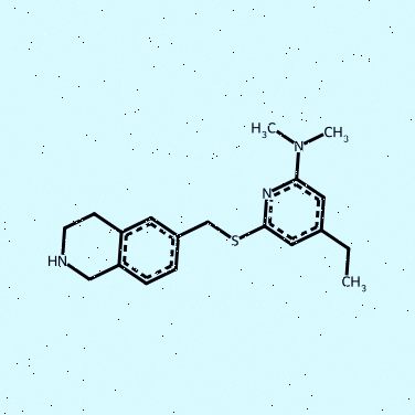 CCc1cc(SCc2ccc3c(c2)CCNC3)nc(N(C)C)c1